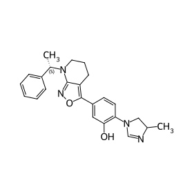 CC1CN(c2ccc(-c3onc4c3CCCN4[C@@H](C)c3ccccc3)cc2O)C=N1